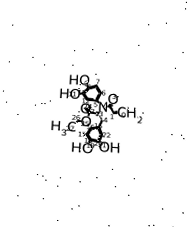 C=CC(=O)N(c1ccc(O)c(O)c1)[C@H](Cc1ccc(O)c(O)c1)C(=O)OCC